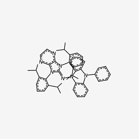 CC(C)c1cccc(C(C)C)c1-n1c(=NN2c3ccccc3N(c3ccccc3)c3ccccc32)n(-c2c(C(C)C)cccc2C(C)C)c2nccnc21